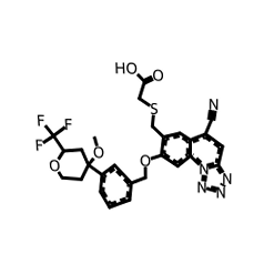 COC1(c2cccc(COc3cc4c(cc3CSCC(=O)O)c(C#N)cc3nnnn34)c2)CCOC(C(F)(F)F)C1